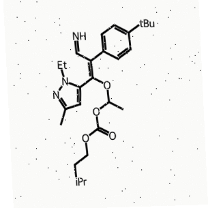 CCn1nc(C)cc1/C(OC(C)OC(=O)OCCC(C)C)=C(\C=N)c1ccc(C(C)(C)C)cc1